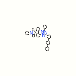 c1ccc(-c2ccc(-c3cccc(-c4nc(-c5ccccc5)nc(-c5cccc6c5-c5ccccc5C65c6ccccc6N(c6ccccc6)c6ccccc65)n4)c3)cc2)cc1